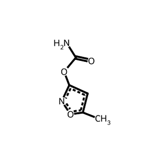 Cc1cc(OC(N)=O)no1